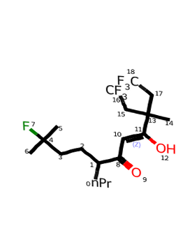 CCCC(CCC(C)(C)F)C(=O)/C=C(\O)C(C)(CC(F)(F)F)CC(F)(F)F